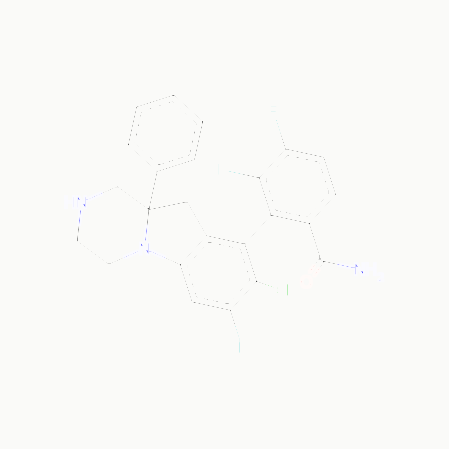 NC(=O)c1ccc(F)c(F)c1-c1c(Cl)c(F)cc2c1CC1(c3ccccc3)CNCCN21